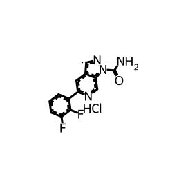 Cl.NC(=O)n1n[c]c2cc(-c3cccc(F)c3F)ncc21